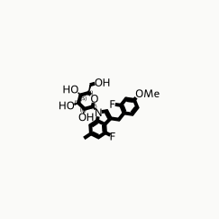 COc1ccc(Cc2cn([C@@H]3O[C@H](CO)[C@@H](O)[C@H](O)[C@H]3O)c3cc(C)cc(F)c23)c(F)c1